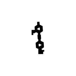 Cc1ccc(C#Cc2ccc(Br)cc2)c(F)c1